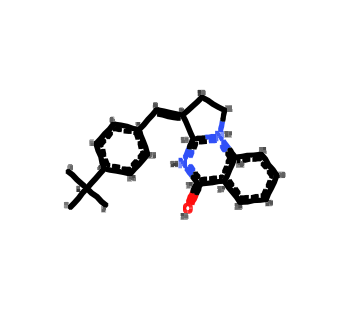 CC(C)(C)c1ccc(/C=C2/CCn3c2nc(=O)c2ccccc23)cc1